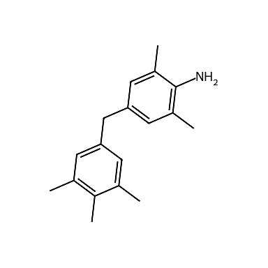 Cc1cc(Cc2cc(C)c(N)c(C)c2)cc(C)c1C